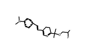 CC(F)COC(C)(C)C1=NC=C(/C=C/c2ccc(N(C)C)cc2)CC1